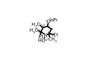 CCCOC1CC(C)(CC)N(O)C(C)(CC)C1C